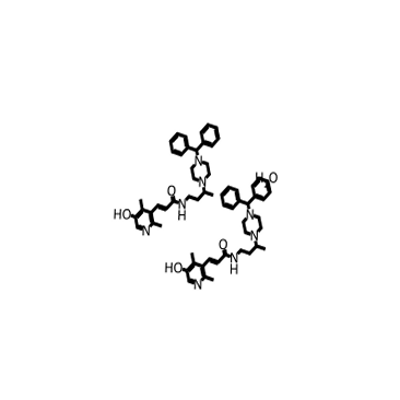 Cc1ncc(O)c(C)c1C=CC(=O)NCCC(C)N1CCN(C(c2ccccc2)c2ccccc2)CC1.Cc1ncc(O)c(C)c1C=CC(=O)NCCC(C)N1CCN(C(c2ccccc2)c2ccccc2)CC1.O